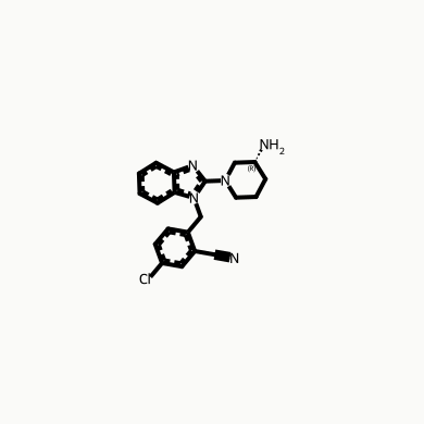 N#Cc1cc(Cl)ccc1Cn1c(N2CCC[C@@H](N)C2)nc2ccccc21